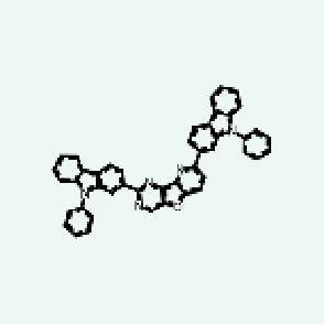 c1ccc(-n2c3ccccc3c3ccc(-c4ccc5oc6cnc(-c7ccc8c9ccccc9n(-c9ccccc9)c8c7)nc6c5n4)cc32)cc1